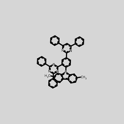 Cc1ccc2c3ccc(C)cc3n(-c3ccc(-c4nc(-c5ccccc5)cc(-c5ccccc5)n4)cc3-c3nc(-c4ccccc4)nc(-c4ccccc4)n3)c2c1